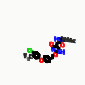 CC(=O)NNC(=O)Cc1c[nH]c(OCCc2ccc(Oc3ccc(Cl)c(C(F)(F)F)c3)cc2)nc1=O